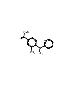 COC(=O)c1ccc(N(C)c2ccccn2)c(C)c1